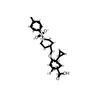 Cc1ccc(S(=O)(=O)N2CCC(COc3cc(F)c(C(=O)O)cc3C3CC3)CC2)cc1